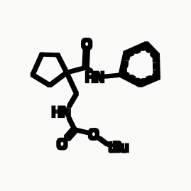 CC(C)(C)OC(=O)NCC1(C(=O)Nc2ccccc2)CCCC1